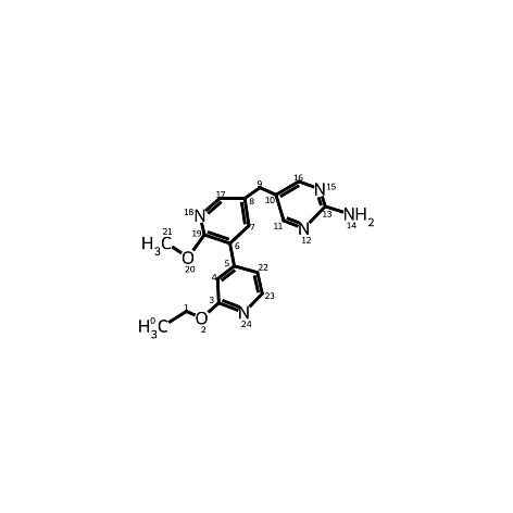 CCOc1cc(-c2cc(Cc3cnc(N)nc3)cnc2OC)ccn1